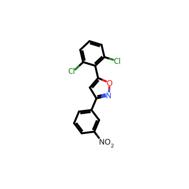 O=[N+]([O-])c1cccc(-c2cc(-c3c(Cl)cccc3Cl)on2)c1